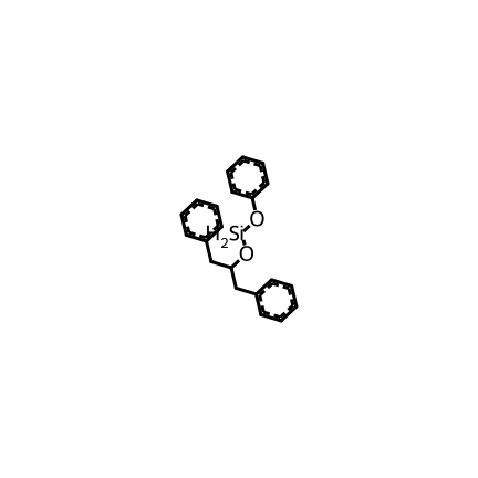 c1ccc(CC(Cc2ccccc2)O[SiH2]Oc2ccccc2)cc1